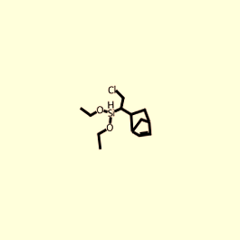 CCO[SiH](OCC)C(CCl)C1CC2C=CC1C2